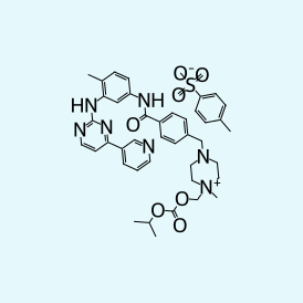 Cc1ccc(NC(=O)c2ccc(CN3CC[N+](C)(COC(=O)OC(C)C)CC3)cc2)cc1Nc1nccc(-c2cccnc2)n1.Cc1ccc(S(=O)(=O)[O-])cc1